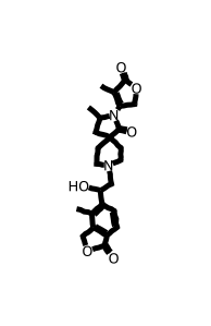 CC1=C(N2C(=O)C3(CCN(CC(O)c4ccc5c(c4C)COC5=O)CC3)CC2C)COC1=O